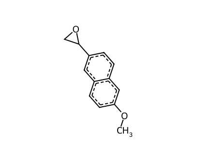 COc1ccc2cc(C3CO3)ccc2c1